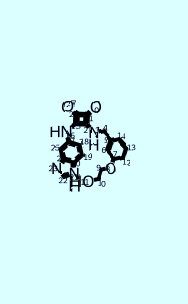 O=c1c(NCC2=CC(OCCO)CC=C2)c(Nc2ccc3[nH]cnc3c2)c1=O